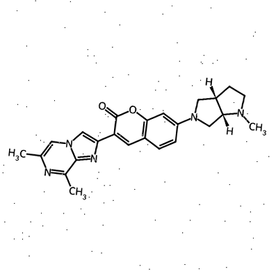 Cc1cn2cc(-c3cc4ccc(N5C[C@@H]6CCN(C)[C@@H]6C5)cc4oc3=O)nc2c(C)n1